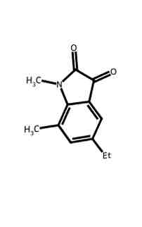 CCc1cc(C)c2c(c1)C(=O)C(=O)N2C